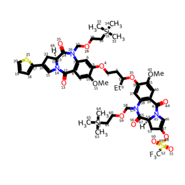 CCC(CCOc1cc2c(cc1OC)C(=O)N1C=C(c3cccs3)C[C@H]1C(=O)N2COCC[Si](C)(C)C)Oc1cc2c(cc1OC)C(=O)N1C=C(OS(=O)(=O)C(F)(F)F)C[C@H]1C(=O)N2COCC[Si](C)(C)C